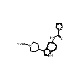 CCCCCN1CCC(c2c[nH]c3ccc(NC(=O)c4cccs4)cc23)CC1